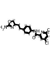 NC1=NC(CCc2ccc(NC(=O)c3cc(Cl)cc(Cl)n3)cc2)CO1